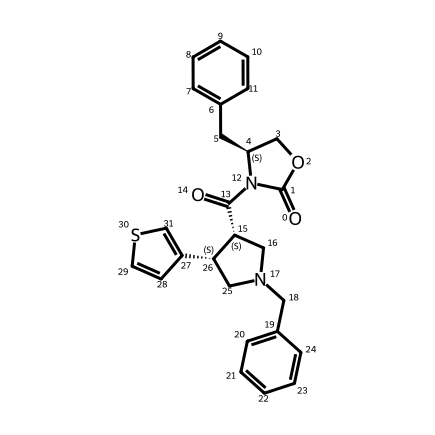 O=C1OC[C@H](Cc2ccccc2)N1C(=O)[C@@H]1CN(Cc2ccccc2)C[C@@H]1c1ccsc1